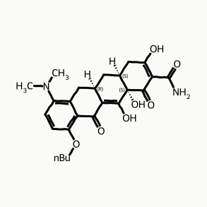 CCCCOc1ccc(N(C)C)c2c1C(=O)C1=C(O)[C@]3(O)C(=O)C(C(N)=O)=C(O)C[C@@H]3C[C@@H]1C2